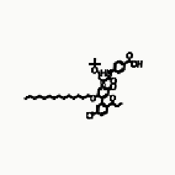 CCCCCCCCCCCCCCOc1cn([C@@H](CCOC(C)(C)C)C(=O)Nc2ccc(C(=O)O)cc2)c(=O)cc1-c1cc(Cl)ccc1C(=O)CC